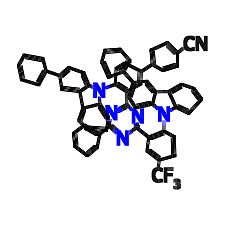 N#Cc1ccc(-c2ccc(-n3c4ccccc4c4cc(-c5ccccc5)ccc43)c(-c3nc(-c4ccccc4)nc(-c4cc(C(F)(F)F)ccc4-n4c5ccccc5c5cc(-c6ccccc6)ccc54)n3)c2)cc1